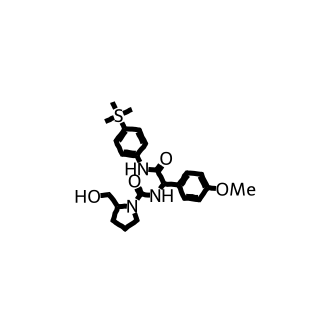 COc1ccc(C(NC(=O)N2CCCC2CO)C(=O)Nc2ccc(S(C)(C)C)cc2)cc1